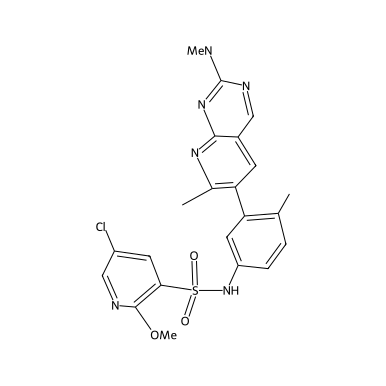 CNc1ncc2cc(-c3cc(NS(=O)(=O)c4cc(Cl)cnc4OC)ccc3C)c(C)nc2n1